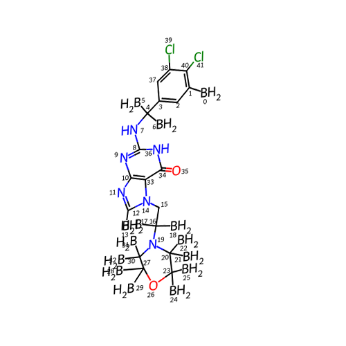 Bc1cc(C(B)(B)Nc2nc3nc(B)n(CC(B)(B)N4C(B)(B)C(B)(B)OC(B)(B)C4(B)B)c3c(=O)[nH]2)cc(Cl)c1Cl